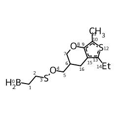 BCCSOCC1COc2c(C)sc(CC)c2C1